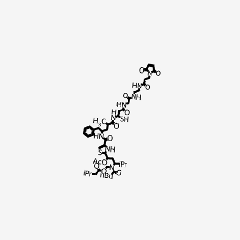 CCCCC(=O)N(COC(=O)CC(C)C)C(CC(OC(C)=O)C1NC(C(=O)NC(Cc2ccccc2)CC(C)C(=O)NC(S)CC(=O)NCC(=O)NCCNC(=O)CCN2C(=O)C=CC2=O)=CS1)C(C)C